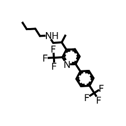 CCCCNCC(C)c1ccc(-c2ccc(C(F)(F)F)cc2)nc1C(F)(F)F